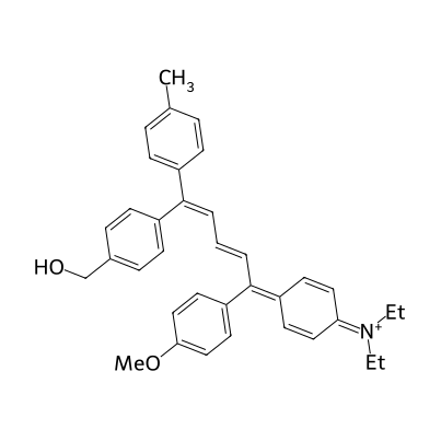 CC[N+](CC)=C1C=CC(=C(C=CC=C(c2ccc(C)cc2)c2ccc(CO)cc2)c2ccc(OC)cc2)C=C1